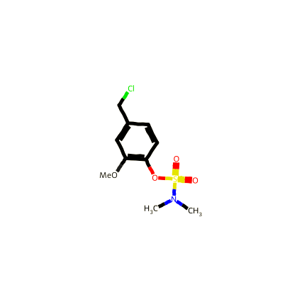 COc1cc(CCl)ccc1OS(=O)(=O)N(C)C